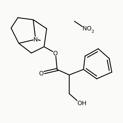 CN1C2CCC1CC(OC(=O)C(CO)c1ccccc1)C2.C[N+](=O)[O-]